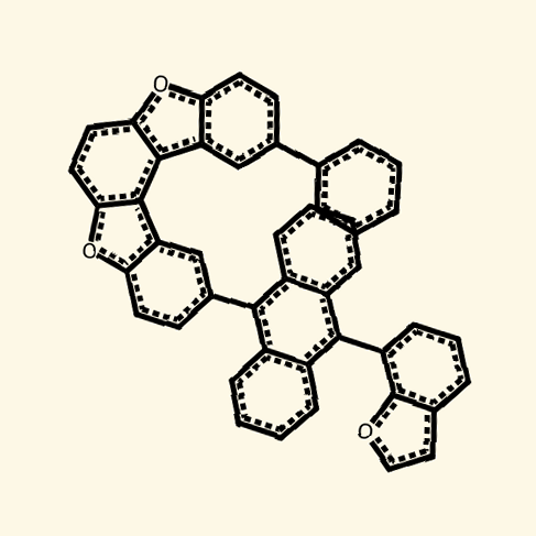 c1ccc(-c2ccc3oc4ccc5oc6ccc(-c7c8ccccc8c(-c8cccc9ccoc89)c8ccccc78)cc6c5c4c3c2)cc1